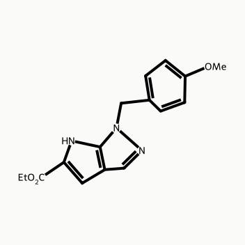 CCOC(=O)c1cc2cnn(Cc3ccc(OC)cc3)c2[nH]1